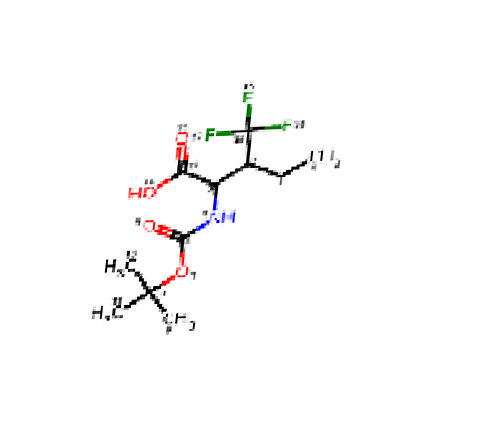 CCC(C(NC(=O)OC(C)(C)C)C(=O)O)C(F)(F)F